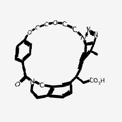 Cc1c2ccc3c1nnn3CCOCCOc1ccc(cc1)C(=O)N1CCc3ccc(cc3C1)C2CC(=O)O